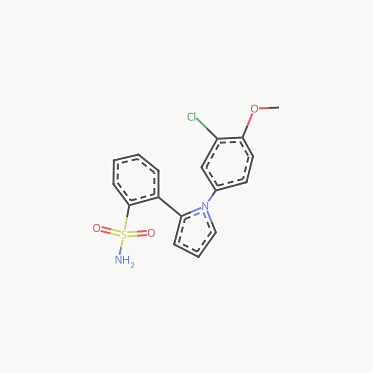 COc1ccc(-n2cccc2-c2ccccc2S(N)(=O)=O)cc1Cl